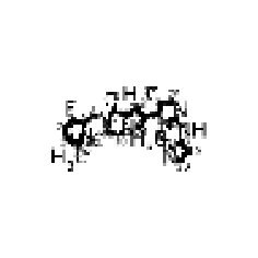 Cc1ccc(F)c(CN2C(=O)c3cc(-c4nc(Nc5ccnn5C)ncc4C)cn3CC2C)n1